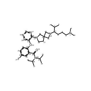 CC(C)C(CCCN(C)C)N1CC2(CCN(c3ncnnc3Oc3ccc(F)cc3C(=O)N(C(C)C)C(C)C)C2)C1